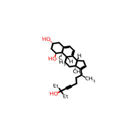 CCC(O)(C#CCC[C@H](C)C1=CC[C@H]2C3=CC=C4C[C@@H](O)C[C@H](O)[C@]4(C)[C@H]3CC[C@]12C)CC